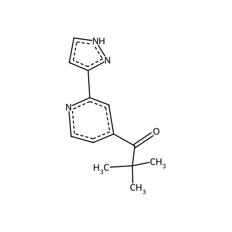 CC(C)(C)C(=O)c1ccnc(-c2cc[nH]n2)c1